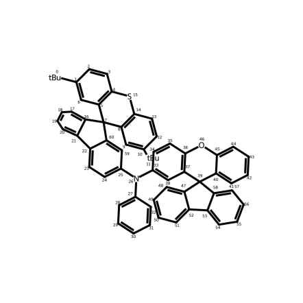 CC(C)(C)c1ccc2c(c1)C1(c3cc(C(C)(C)C)ccc3S2)c2ccccc2-c2ccc(N(c3ccccc3)c3ccc4c(c3)C3(c5ccccc5O4)c4ccccc4-c4ccccc43)cc21